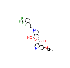 COc1ccc2nccc([C@@H](O)CC[C@@H]3CCN(C4CC(c5cccc(C(F)(F)F)c5F)C4)C[C@@H]3C(=O)O)c2c1